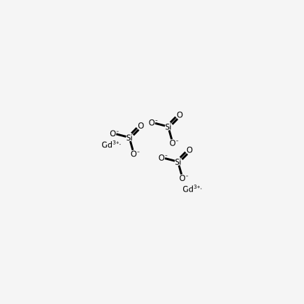 O=[Si]([O-])[O-].O=[Si]([O-])[O-].O=[Si]([O-])[O-].[Gd+3].[Gd+3]